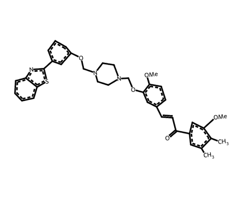 COc1ccc(/C=C/C(=O)c2cc(C)c(C)c(OC)c2)cc1OCN1CCN(COc2cccc(-c3nc4ccccc4s3)c2)CC1